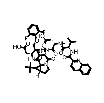 CC(C)[C@H](NC(=O)c1ccc2ccccc2n1)C(=O)N[C@@H](CC(=O)O)C(=O)N[C@H](C(=O)N1CC[C@@H]2C(C(C)(C)C)C21C(=O)N[C@@H](CC(=O)O)C(=O)COc1c(F)cccc1F)C(C)C